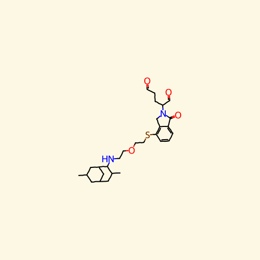 CC1CC2CC(C)C(NCCOCCSc3cccc4c3CN(C(C=O)CCC=O)C4=O)C(C1)C2